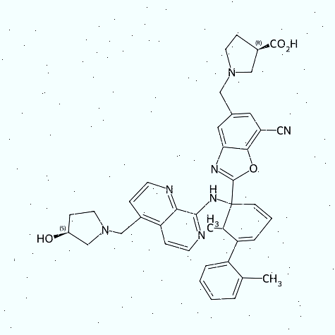 Cc1ccccc1C1=CC=CC(Nc2nccc3c(CN4CC[C@H](O)C4)ccnc23)(c2nc3cc(CN4CC[C@@H](C(=O)O)C4)cc(C#N)c3o2)C1C